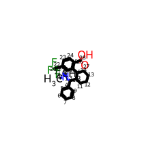 CN(C)C(c1ccccc1)C1CCCCC1c1cc(C(F)(F)F)ccc1C(=O)O